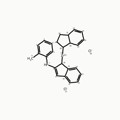 Cc1ccccc1PC1=Cc2ccccc2[CH]1[Zr+2][CH]1CCC2C=CC=CC21.[Cl-].[Cl-]